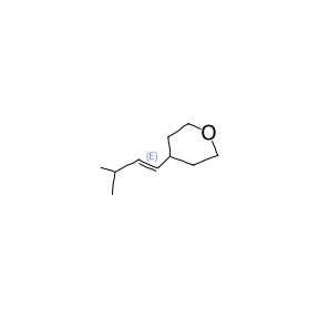 CC(C)/C=C/C1CCOCC1